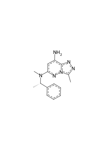 Cc1nnc2c(N)cc(N(C)[C@@H](C)c3ccccc3)nn12